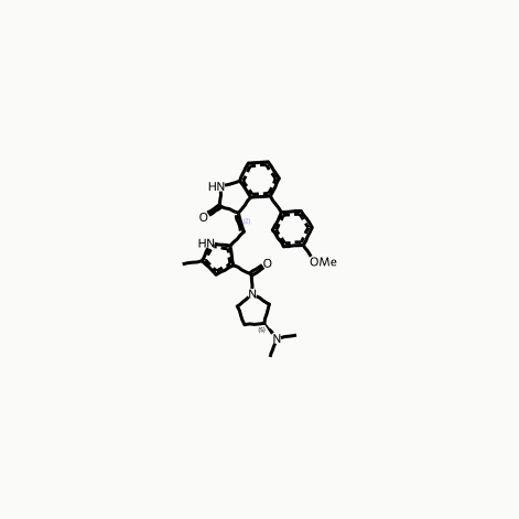 COc1ccc(-c2cccc3c2/C(=C/c2[nH]c(C)cc2C(=O)N2CC[C@H](N(C)C)C2)C(=O)N3)cc1